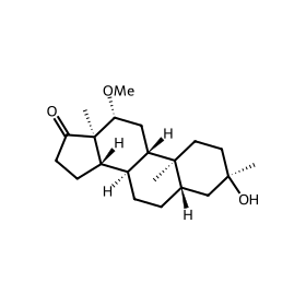 CO[C@@H]1C[C@H]2[C@@H](CC[C@H]3C[C@](C)(O)CC[C@@]32C)[C@@H]2CCC(=O)[C@@]12C